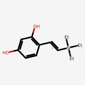 CC[Si](/C=C/c1ccc(O)cc1O)(CC)CC